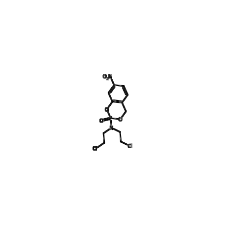 O=[N+]([O-])c1ccc2c(c1)OP(=O)(N(CCCl)CCCl)OC2